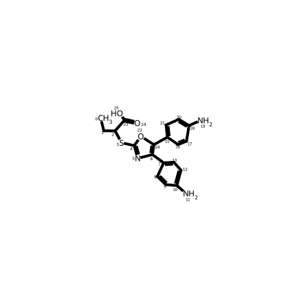 CCC(Sc1nc(-c2ccc(N)cc2)c(-c2ccc(N)cc2)o1)C(=O)O